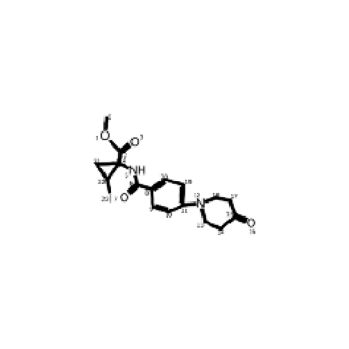 COC(=O)C1(NC(=O)c2ccc(N3CCC(=O)CC3)cc2)CC1I